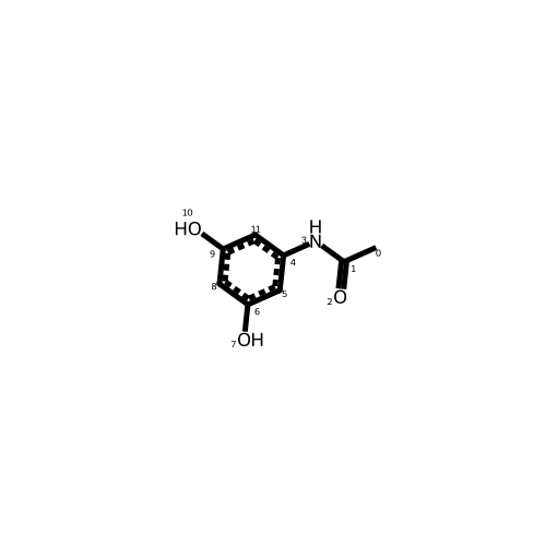 CC(=O)Nc1cc(O)cc(O)c1